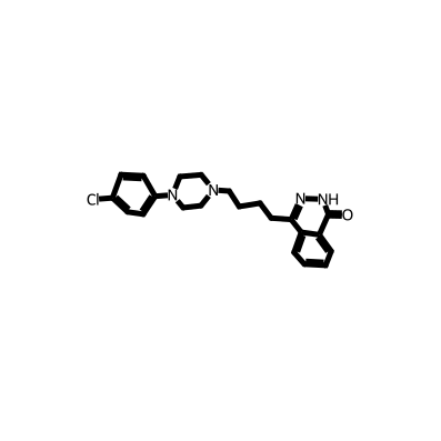 O=c1[nH]nc(CCCCN2CCN(c3ccc(Cl)cc3)CC2)c2ccccc12